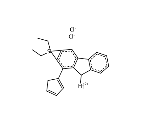 CC[Si]1(CC)c2cc3c(c(C4=CC=CC4)c21)[CH]([Hf+2])c1ccccc1-3.[Cl-].[Cl-]